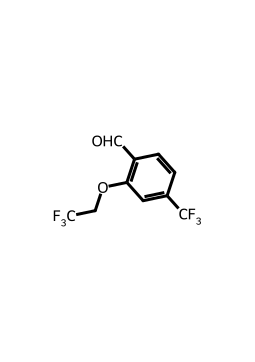 O=Cc1ccc(C(F)(F)F)cc1OCC(F)(F)F